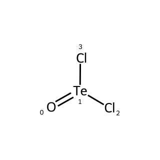 O=[Te](Cl)Cl